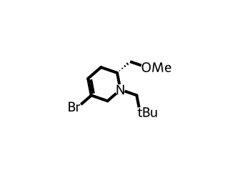 [CH2]C(C)(C)CN1CC(Br)=CC[C@@H]1COC